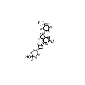 CC1(O)CCN(C2CN(c3nc(Cl)nc4c3cnn4-c3cccc(C(F)(F)F)c3)C2)CC1